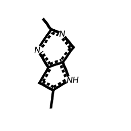 Cc1ncc2[nH]c(C)cc2n1